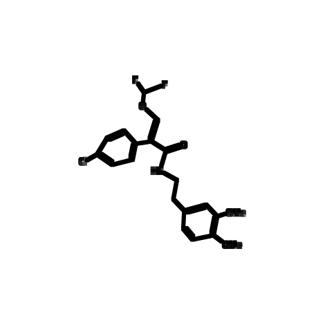 COc1ccc(CCNC(=O)C(=COC(F)F)c2ccc(Cl)cc2)cc1OC